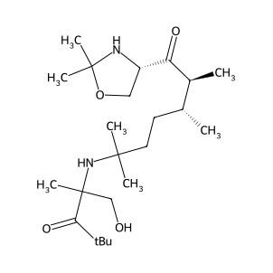 C[C@H](CCC(C)(C)NC(C)(CO)C(=O)C(C)(C)C)[C@H](C)C(=O)[C@@H]1COC(C)(C)N1